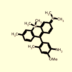 COc1cc(C)c(C2=C3C=CC(=[N+](C)C)C=C3[Si](C)(C)c3cc(C)ccc32)cc1N